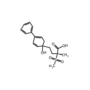 C[C@@](CCC1(O)C=CC(c2ccccc2)=CC1)(C(=O)O)S(C)(=O)=O